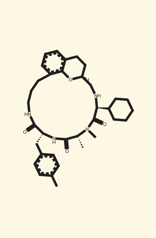 Cc1ccc(C[C@H]2NC(=O)[C@@H](C)N(C)C(=O)[C@H](C3CCCCC3)NC[C@H]3CCc4cccc(c4O3)CCCNC2=O)cc1